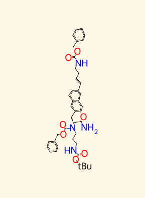 CC(C)(C)OC(=O)NCCCN(C(=O)OCc1ccccc1)[C@@H](Cc1ccc2cc(/C=C/CCNC(=O)OCc3ccccc3)ccc2c1)C(N)=O